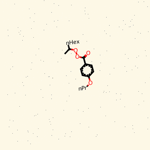 CCCCCC[C](C)OOC(=O)c1ccc(OCCC)cc1